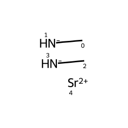 C[NH-].C[NH-].[Sr+2]